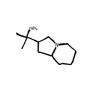 CCCC(C)(C)C1CC2CCCCN2C1